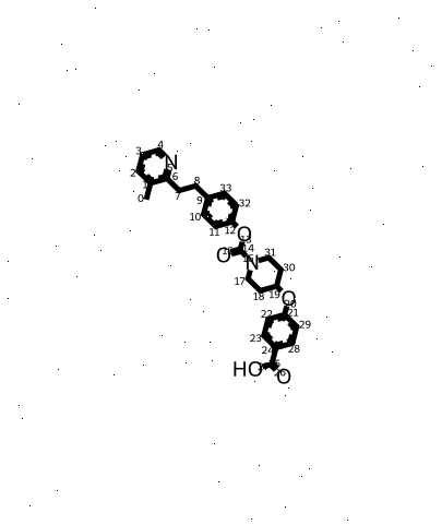 Cc1cccnc1CCc1ccc(OC(=O)N2CCC(Oc3ccc(C(=O)O)cc3)CC2)cc1